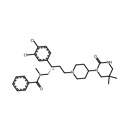 CN(C[C@@H](CCN1CCC(N2CC(C)(C)CNC2=O)CC1)c1ccc(Cl)c(Cl)c1)C(=O)c1ccccc1